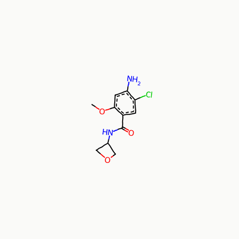 COc1cc(N)c(Cl)cc1C(=O)NC1COC1